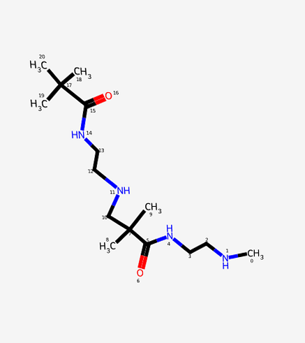 CNCCNC(=O)C(C)(C)CNCCNC(=O)C(C)(C)C